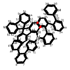 c1ccc(-c2ccccc2-c2ccc(N(c3ccccc3-c3ccccc3-c3ccccc3-c3ccccc3)c3cccc4c3-c3ccccc3C43c4ccccc4-c4ccccc43)cc2)cc1